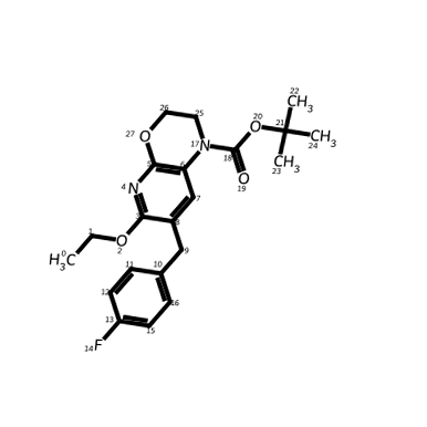 CCOc1nc2c(cc1Cc1ccc(F)cc1)N(C(=O)OC(C)(C)C)CCO2